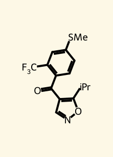 CSc1ccc(C(=O)c2cnoc2C(C)C)c(C(F)(F)F)c1